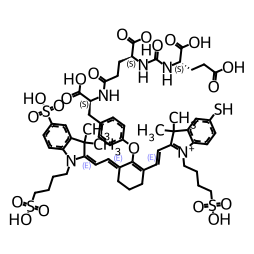 CC1(C)C(/C=C/C2=C(Oc3ccc(C[C@H](NC(=O)CC[C@H](NC(=O)N[C@@H](CCC(=O)O)C(=O)O)C(=O)O)C(=O)O)cc3)C(=C/C=C3/N(CCCCS(=O)(=O)O)c4ccc(S(=O)(=O)O)cc4C3(C)C)/CCC2)=[N+](CCCCS(=O)(=O)O)c2ccc(S)cc21